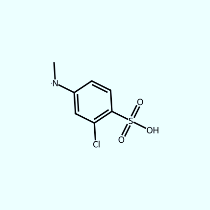 C[N]c1ccc(S(=O)(=O)O)c(Cl)c1